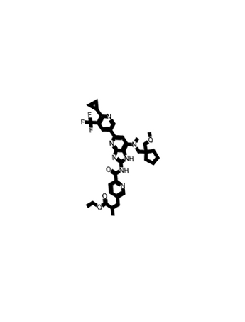 CCOC(=O)C(C)Cc1ccc(C(=O)Nc2nc3nc(-c4cnc(C5CC5)c(C(F)(F)F)c4)cc(N(C)CC4(COC)CCCC4)c3[nH]2)nc1